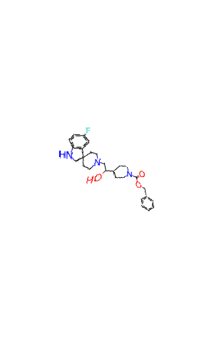 O=C(OCc1ccccc1)N1CCC(C(O)CN2CCC3(CC2)CNc2ccc(F)cc23)CC1